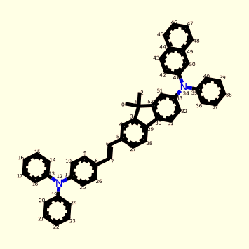 CC1(C)c2cc(/C=C/c3ccc(N(c4ccccc4)c4ccccc4)cc3)ccc2-c2ccc(N(c3ccccc3)c3ccc4ccccc4c3)cc21